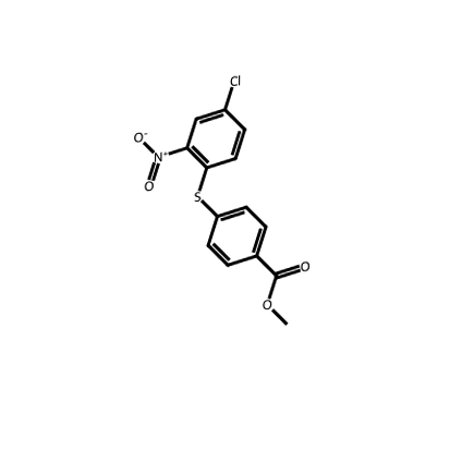 COC(=O)c1ccc(Sc2ccc(Cl)cc2[N+](=O)[O-])cc1